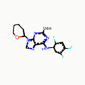 CSc1nc(Nc2cc(F)c(F)cc2F)c2ncn(C3CCCCO3)c2n1